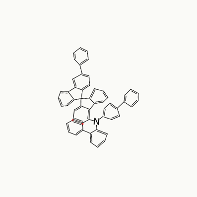 c1ccc(-c2ccc(N(c3ccccc3-c3ccccc3)c3cccc4c3-c3ccccc3C43c4ccccc4-c4cc(-c5ccccc5)ccc43)cc2)cc1